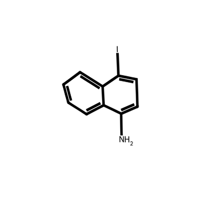 Nc1ccc(I)c2ccccc12